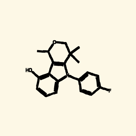 CC1OCC(C)(C)c2c1c1c(O)cccc1n2-c1ccc(F)cc1